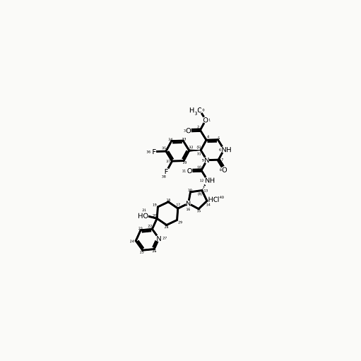 COC(=O)C1=CNC(=O)N(C(=O)N[C@@H]2CCN(C3CCC(O)(c4ccccn4)CC3)C2)[C@H]1c1ccc(F)c(F)c1.Cl